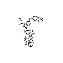 COCC(C)n1cc(-c2ncc(C(=O)NC3(C(=O)O)C4CC5CC(C4)CC3C5)c(C(C)(F)F)n2)c2ccc(OC3CCN(CC(C)(F)F)CC3)cc21